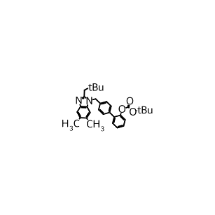 Cc1cc2nc(CC(C)(C)C)n(Cc3ccc(-c4ccccc4OC(=O)OC(C)(C)C)cc3)c2cc1C